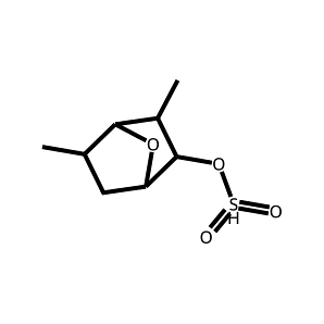 CC1CC2OC1C(C)C2O[SH](=O)=O